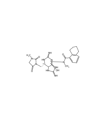 CN1CC(=O)N(C[C@@H]2NC(=N)N3CC(N(C)C(=O)c4cccc5c4CCCC5)C(O)C34NC(=N)NC24)C1=O